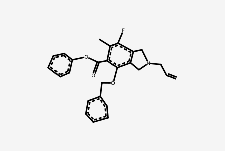 C=CCN1Cc2c(F)c(C)c(C(=O)Oc3ccccc3)c(OCc3ccccc3)c2C1